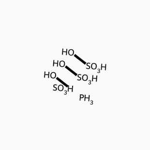 O=S(=O)(O)O.O=S(=O)(O)O.O=S(=O)(O)O.P